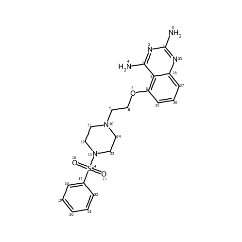 Nc1nc(N)c2c(OCCN3CCN(S(=O)(=O)c4ccccc4)CC3)cccc2n1